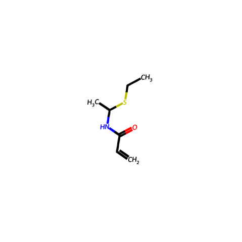 C=CC(=O)NC(C)SCC